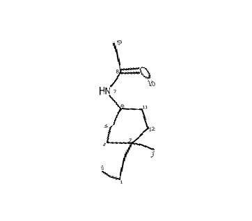 CCC1(C)CCC(NC(C)=O)CC1